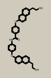 O=C(Nc1ccc(Oc2ccc3cc(CCO)ccc3c2)cc1)c1ccc(Oc2ccc3cc(CCO)ccc3c2)cc1